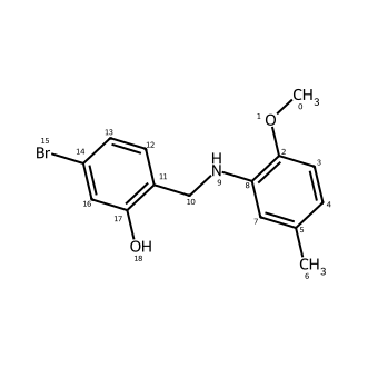 COc1ccc(C)cc1NCc1ccc(Br)cc1O